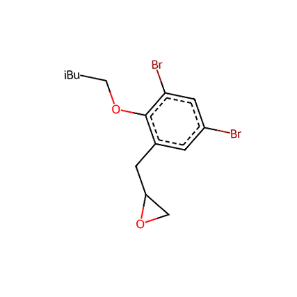 CCC(C)COc1c(Br)cc(Br)cc1CC1CO1